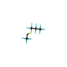 FC(F)(F)CSC(F)(F)C(F)(F)C(F)(F)F